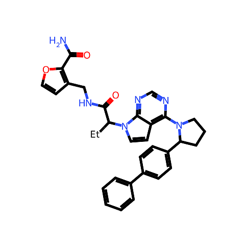 CCC(C(=O)NCc1ccoc1C(N)=O)n1ccc2c(N3CCCC3c3ccc(-c4ccccc4)cc3)ncnc21